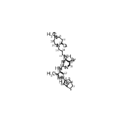 Cc1nn(C2CC3CCC(C2)N3C)cc1Nc1ncc(Br)c(NCCCN2CCN(C)CCC2=O)n1